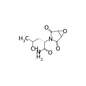 CC(C)C[C@@H](C(N)=O)N1C(=O)C2OC2C1=O